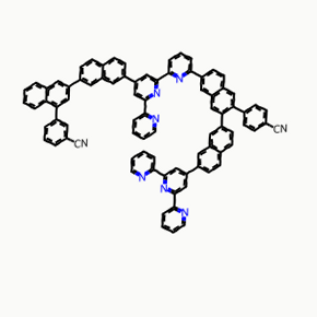 N#Cc1ccc(-c2cc3ccc(-c4cccc(-c5cc(-c6ccc7ccc(-c8cc(-c9cccc(C#N)c9)c9ccccc9c8)cc7c6)cc(-c6ccccn6)n5)n4)cc3cc2-c2ccc3ccc(-c4cc(-c5ccccn5)nc(-c5ccccn5)c4)cc3c2)cc1